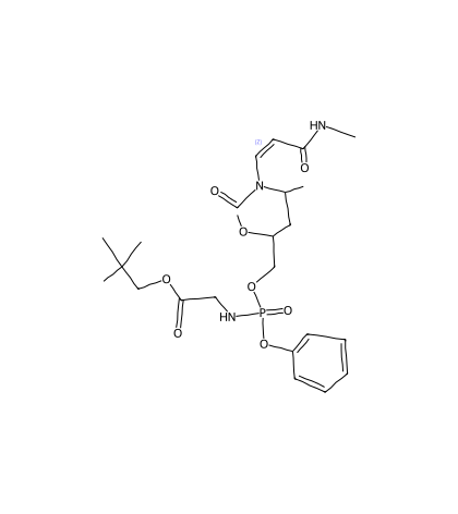 CNC(=O)/C=C\N(C=O)C(C)CC(COP(=O)(NCC(=O)OCC(C)(C)C)Oc1ccccc1)OC